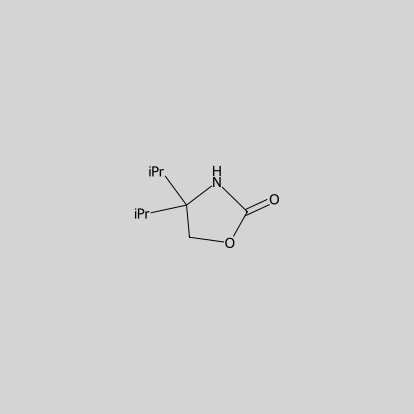 CC(C)C1(C(C)C)COC(=O)N1